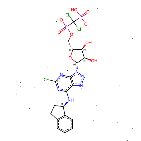 O=P(O)(O)C(Cl)(Cl)P(=O)(O)OC[C@H]1O[C@@H](n2nnc3c(N[C@@H]4CCc5ccccc54)nc(Cl)nc32)[C@H](O)[C@@H]1O